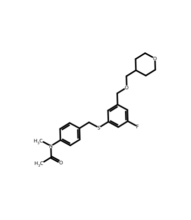 CC(=O)N(C)c1ccc(CSc2cc(F)cc(COCC3CCOCC3)c2)cc1